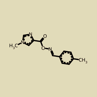 Cc1ccc(C=NOC(=O)c2cn(C)cn2)cc1